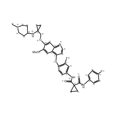 COc1cc2c(Oc3ccc(NC(=O)C4(C(=O)Nc5ccc(F)cc5)CC4)cc3F)ccnc2cc1OCC1(NC2CCN(C)CC2)CC1